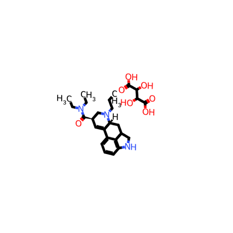 CCCN1C[C@H](C(=O)N(CC)CC)C=C2c3cccc4c3C(CN4)C[C@H]21.O=C(O)C(O)C(O)C(=O)O